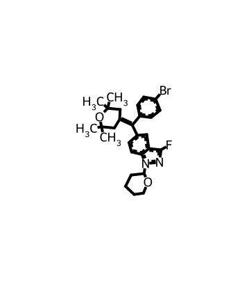 CC1(C)CC(=C(c2ccc(Br)cc2)c2ccc3c(c2)c(F)nn3C2CCCCO2)CC(C)(C)O1